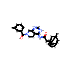 Cc1cccc(C(=O)N2CCc3c(ncnc3NC(=O)CC34CC5=CC(C)(CC(C5)C3)C4)C2)c1